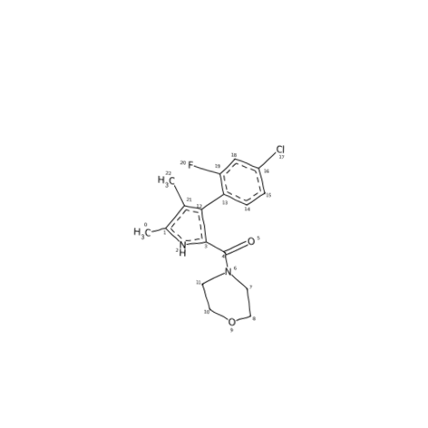 Cc1[nH]c(C(=O)N2CCOCC2)c(-c2ccc(Cl)cc2F)c1C